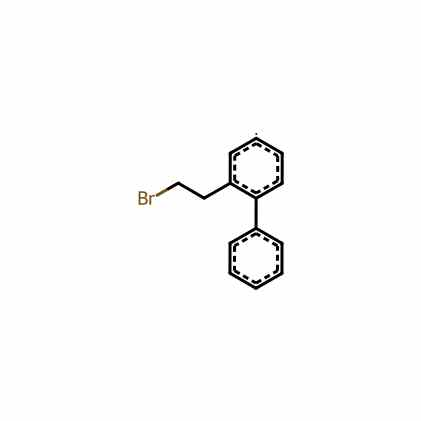 BrCCc1c[c]ccc1-c1ccccc1